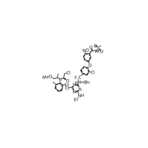 CCNc1nc(Cl)nc(NC(C)(C)C)n1.CCc1cccc(C)c1N(C(=O)CCl)C(C)COC.CS(=O)(=O)NC(=O)c1cc(Oc2ccc(C(F)(F)F)cc2Cl)ccc1[N+](=O)[O-]